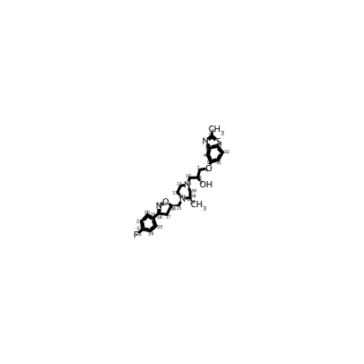 Cc1nc2cc(OCC(O)CN3CCN(C[C@H]4CC(c5ccc(F)cc5)=NO4)[C@@H](C)C3)ccc2s1